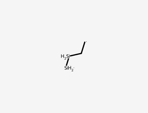 [CH2]C[SiH2][SiH2]